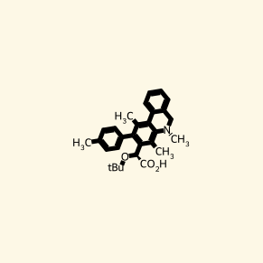 Cc1ccc(-c2c(C)c3c(c(C)c2[C@H](OC(C)(C)C)C(=O)O)N(C)Cc2ccccc2-3)cc1